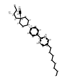 CCCCCCCCc1cnc(-c2ccc([C@H]3CC[C@@](C#N)(C[C@H](C)CC)CC3)cc2)nc1